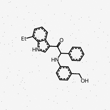 CCc1cccc2c(C(=O)C(Nc3cccc(CO)c3)c3ccccc3)c[nH]c12